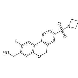 O=S(=O)(c1ccc2c(c1)COc1cc(CO)c(F)cc1-2)N1CCC1